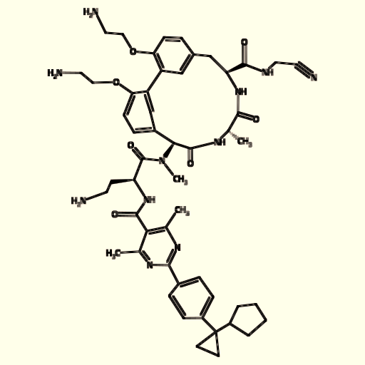 Cc1nc(-c2ccc(C3(C4CCCC4)CC3)cc2)nc(C)c1C(=O)N[C@@H](CCN)C(=O)N(C)[C@@H]1C(=O)N[C@@H](C)C(=O)N[C@H](C(=O)NCC#N)Cc2ccc(OCCN)c(c2)-c2cc1ccc2OCCN